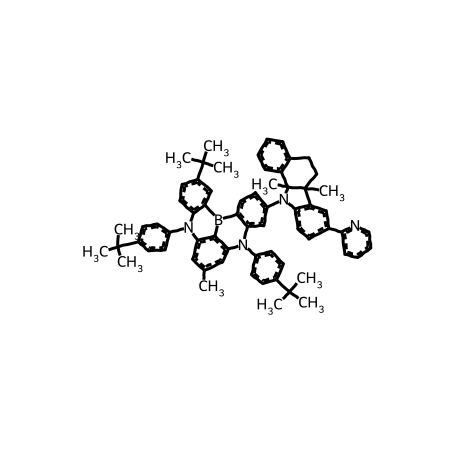 Cc1cc2c3c(c1)N(c1ccc(C(C)(C)C)cc1)c1cc(N4c5ccc(-c6ccccn6)cc5C5(C)CCc6ccccc6C45C)ccc1B3c1cc(C(C)(C)C)ccc1N2c1ccc(C(C)(C)C)cc1